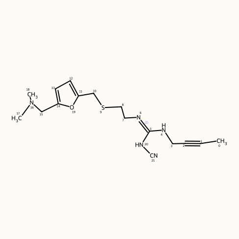 CC#CCN/C(=N/CCSCc1ccc(CN(C)C)o1)NC#N